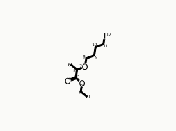 CCOC(=O)C(C)OCCCCI